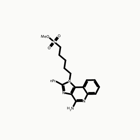 CCCc1nc2c(N)nc3ccccc3c2n1CCCCCS(=O)(=O)OC